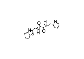 O=C(NCCc1ccccn1)C(=O)NCc1nc2ccccc2s1